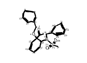 CC(=O)C1(OCc2ccccc2)C=CC=CC1N(Cc1ccccc1)S(C)(=O)=O